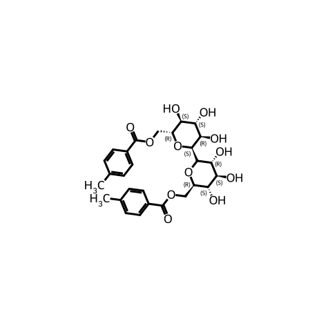 Cc1ccc(C(=O)OC[C@H]2O[C@H](C3O[C@H](COC(=O)c4ccc(C)cc4)[C@@H](O)[C@H](O)[C@H]3O)[C@H](O)[C@@H](O)[C@@H]2O)cc1